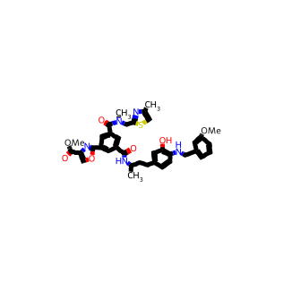 COC(=O)c1coc(-c2cc(C(=O)NC(C)CCc3ccc(NCc4cccc(OC)c4)c(O)c3)cc(C(=O)N(C)Cc3nc(C)cs3)c2)n1